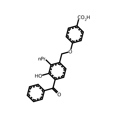 CCCc1c(COc2ccc(C(=O)O)cc2)ccc(C(=O)c2ccccc2)c1O